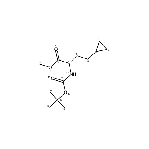 COC(=O)[C@H](CCC1CC1)NC(=O)OC(C)(C)C